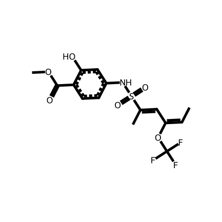 C/C=C(\C=C(/C)S(=O)(=O)Nc1ccc(C(=O)OC)c(O)c1)OC(F)(F)F